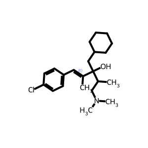 C/C(=C\c1ccc(Cl)cc1)C(O)(CC1CCCCC1)C(C)CN(C)C